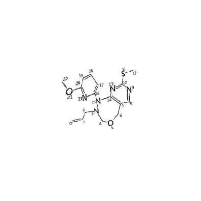 C=CCN1COCc2cnc(SC)nc2N1c1cccc(OC)n1